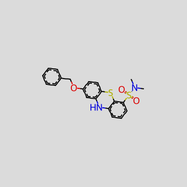 CN(C)S(=O)(=O)c1cccc2c1Sc1ccc(OCc3ccccc3)cc1N2